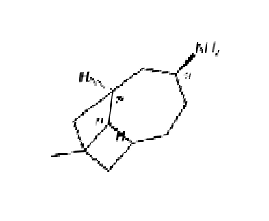 CC12CC3CC[C@H](N)C[C@H](C1)[C@@H]32